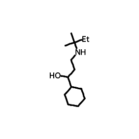 CCC(C)(C)NCCC(O)C1CCCCC1